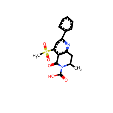 CC1Cc2nc(-c3ccccc3)cc(S(C)(=O)=O)c2C(=O)N1C(=O)O